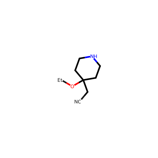 CCOC1(CC#N)CCNCC1